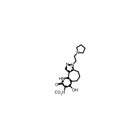 O=C(O)c1c(O)c2c([nH]c1=O)-c1cnn(CCN3CCCC3)c1CCC2